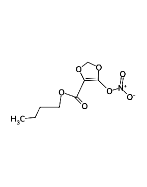 CCCCOC(=O)C1=C(O[N+](=O)[O-])OCO1